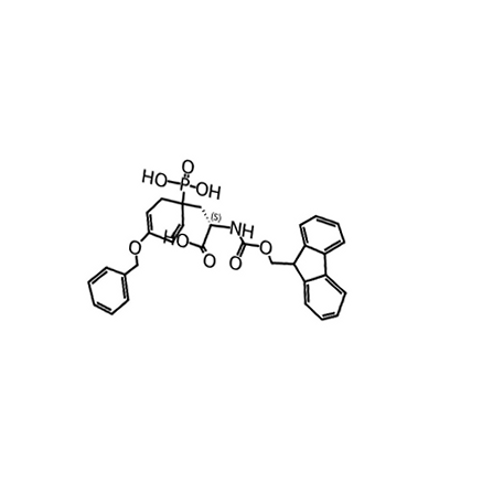 O=C(N[C@@H](CC1(P(=O)(O)O)C=CC(OCc2ccccc2)=CC1)C(=O)O)OCC1c2ccccc2-c2ccccc21